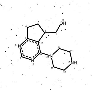 OCC1CCc2ncnc(N3CCNCC3)c21